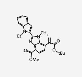 CCn1c(-c2nc3c(C(=O)OC)ccc(NC(=O)OC(C)(C)C)c3n2C)cc2ccccc21